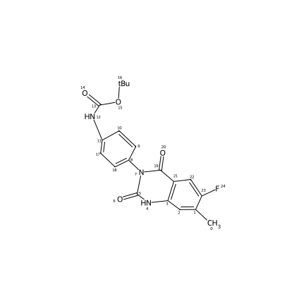 Cc1cc2[nH]c(=O)n(-c3ccc(NC(=O)OC(C)(C)C)cc3)c(=O)c2cc1F